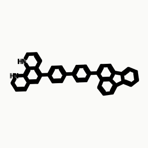 C1=Cc2cc(-c3ccc(-c4ccc(-c5ccc6c7c(cccc57)-c5ccccc5-6)cc4)cc3)c3c(c2NC1)NCC=C3